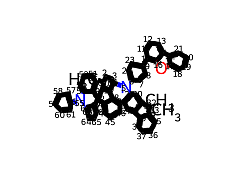 CC1CC=C(N(c2ccc(-c3cccc4c3oc3ccccc34)cc2)c2ccc3c(c2)C(C)(C)c2ccccc2-3)C2=C1C1(c3ccccc32)c2ccccc2N(c2ccccc2)c2ccccc21